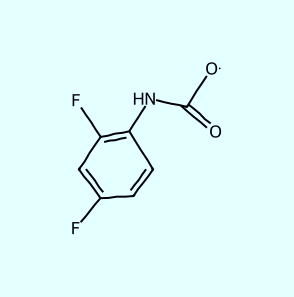 [O]C(=O)Nc1ccc(F)cc1F